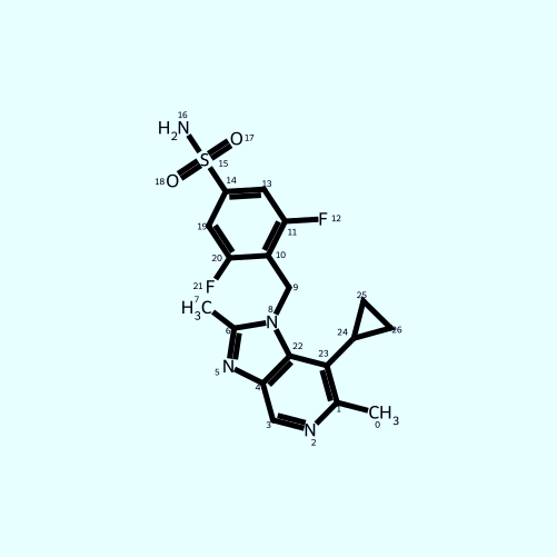 Cc1ncc2nc(C)n(Cc3c(F)cc(S(N)(=O)=O)cc3F)c2c1C1CC1